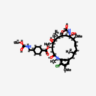 COc1cc2cc(c1Cl)N(C)C(=O)C[C@H](OC(=O)C1CCC(CNC(=O)OC(C)(C)C)CC1)[C@@]1(C)O[C@H]1[C@H](C)[C@@H]1C[C@@](O)(NC(=O)O1)C(OC)/C=C/C=C(\C)C2